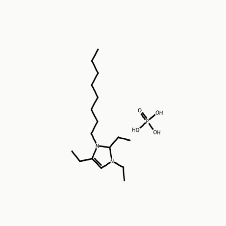 CCCCCCCCN1C(CC)=CN(CC)C1CC.O=P(O)(O)O